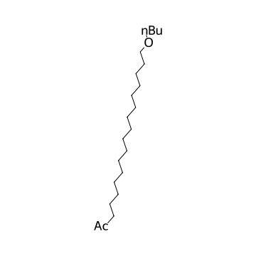 CC[CH]COCCCCCCCCCCCCCCCCC(C)=O